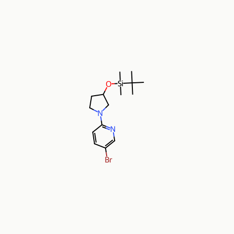 CC(C)(C)[Si](C)(C)OC1CCN(c2ccc(Br)cn2)C1